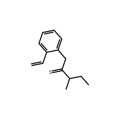 C=Cc1ccccc1CC(=S)C(C)CC